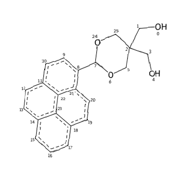 OCC1(CO)COC(c2ccc3ccc4cccc5ccc2c3c45)OC1